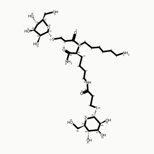 NCCCCCCN(C(=O)CCS[C@H]1O[C@H](CO)[C@@H](O)[C@H](O)[C@@H]1O)[C@@H](CCCCNC(=O)CCS[C@H]1O[C@H](CO)[C@@H](O)[C@H](O)[C@@H]1O)C(N)=O